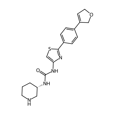 O=C(Nc1csc(-c2ccc(C3=CCOC3)cc2)n1)N[C@H]1CCCNC1